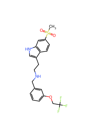 CS(=O)(=O)c1ccc2c(CCNCc3cccc(OCC(F)(F)F)c3)c[nH]c2c1